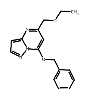 CCOCc1cc(OCc2ccccc2)n2nccc2n1